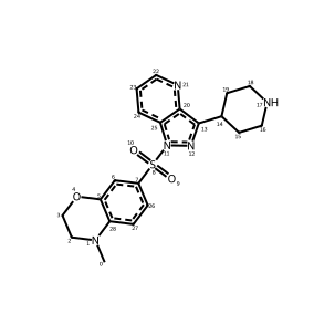 CN1CCOc2cc(S(=O)(=O)n3nc(C4CCNCC4)c4ncccc43)ccc21